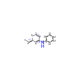 C\C=C/C(=C\C=C\C)Nc1ccccc1